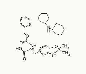 C1CCC(NC2CCCCC2)CC1.CC(C)(C)Oc1ccc(C[C@@H](NC(=O)OCc2ccccc2)C(=O)O)cc1